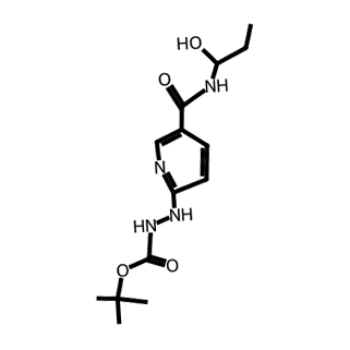 CCC(O)NC(=O)c1ccc(NNC(=O)OC(C)(C)C)nc1